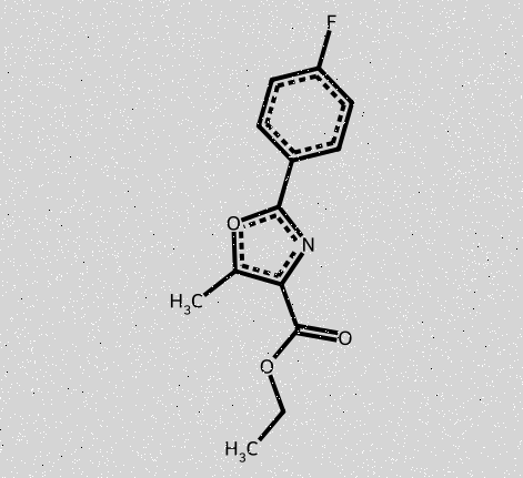 CCOC(=O)c1nc(-c2ccc(F)cc2)oc1C